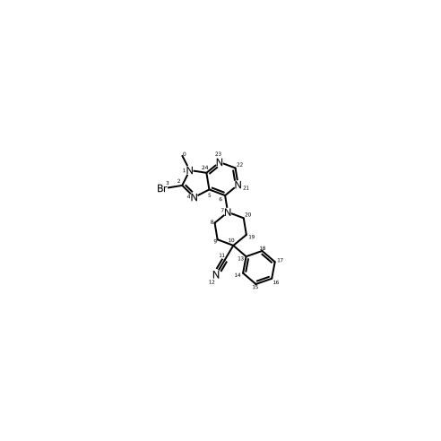 Cn1c(Br)nc2c(N3CCC(C#N)(c4ccccc4)CC3)ncnc21